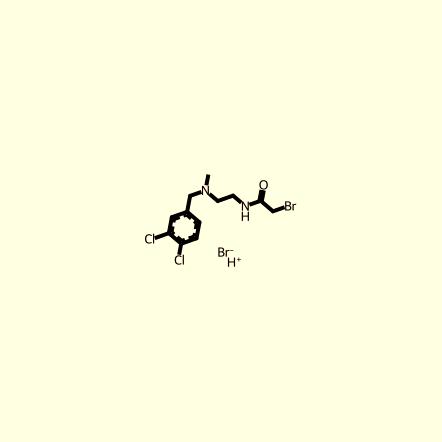 CN(CCNC(=O)CBr)Cc1ccc(Cl)c(Cl)c1.[Br-].[H+]